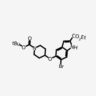 CCOC(=O)c1cc2cc(OC3CCN(C(=O)OC(C)(C)C)CC3)c(Br)cc2[nH]1